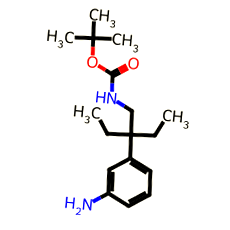 CCC(CC)(CNC(=O)OC(C)(C)C)c1cccc(N)c1